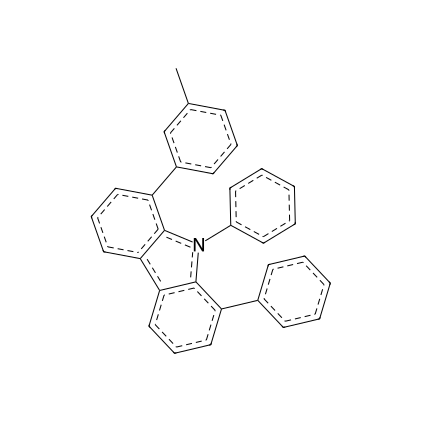 Cc1cccc(-c2cccc3c4cccc(-c5ccccc5)c4n(-c4ccccc4)c23)c1